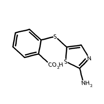 Nc1ncc(Sc2ccccc2C(=O)O)s1